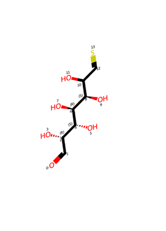 O=C[C@H](O)[C@@H](O)[C@@H](O)[C@H](O)C(O)C=S